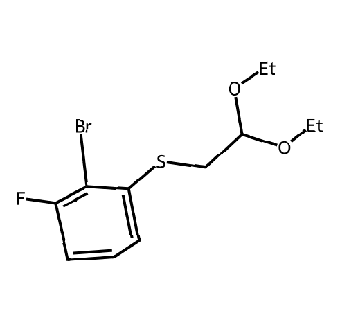 CCOC(CSc1cccc(F)c1Br)OCC